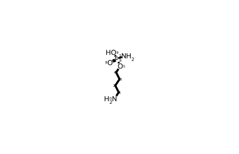 NCCCCOP(N)(=O)O